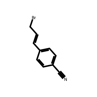 N#Cc1ccc(C=CCBr)cc1